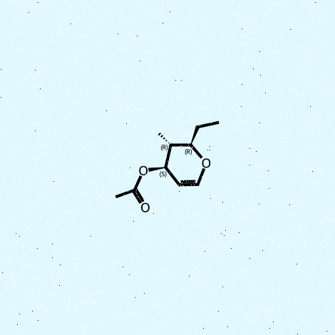 CC[C@H]1OC=C[C@@H](OC(C)=O)[C@@H]1C